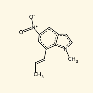 C/C=C/c1cc([N+](=O)[O-])cc2ccn(C)c12